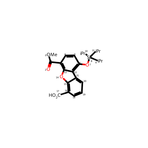 COC(=O)c1ccc(O[Si](C(C)C)(C(C)C)C(C)C)c2c1oc1c(C(=O)O)cccc12